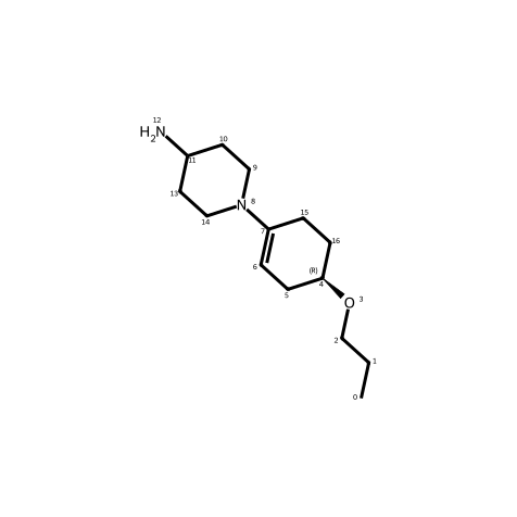 CCCO[C@H]1CC=C(N2CCC(N)CC2)CC1